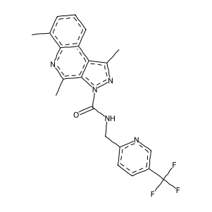 Cc1cccc2c1nc(C)c1c2c(C)nn1C(=O)NCc1ccc(C(F)(F)F)cn1